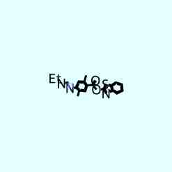 CCN(C)/C=N/c1cc(C)c(C(=O)Oc2nc3ccccc3s2)cc1C